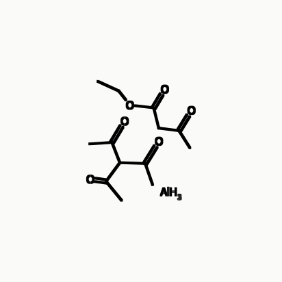 CC(=O)C(C(C)=O)C(C)=O.CCOC(=O)CC(C)=O.[AlH3]